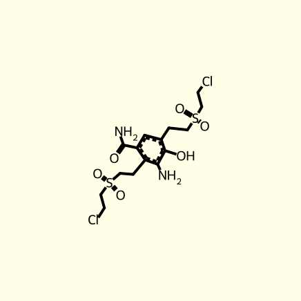 NC(=O)c1cc(CCS(=O)(=O)CCCl)c(O)c(N)c1CCS(=O)(=O)CCCl